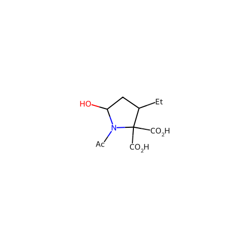 CCC1CC(O)N(C(C)=O)C1(C(=O)O)C(=O)O